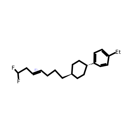 CCc1ccc([C@H]2CC[C@H](CCC/C=C/CC(F)F)CC2)cc1